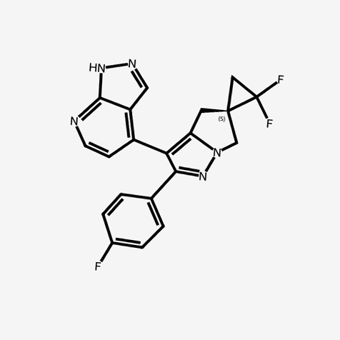 Fc1ccc(-c2nn3c(c2-c2ccnc4[nH]ncc24)C[C@@]2(C3)CC2(F)F)cc1